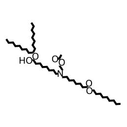 CCCCCCCCCOC(=O)CCCCCCCN(CCCCCCCC(O)OC(CCCCCCCC)CCCCCCCC)CCOC(C)=O